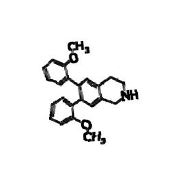 COc1ccccc1-c1cc2c(cc1-c1ccccc1OC)CNCC2